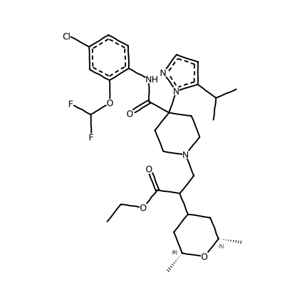 CCOC(=O)C(CN1CCC(C(=O)Nc2ccc(Cl)cc2OC(F)F)(n2nccc2C(C)C)CC1)C1C[C@@H](C)O[C@@H](C)C1